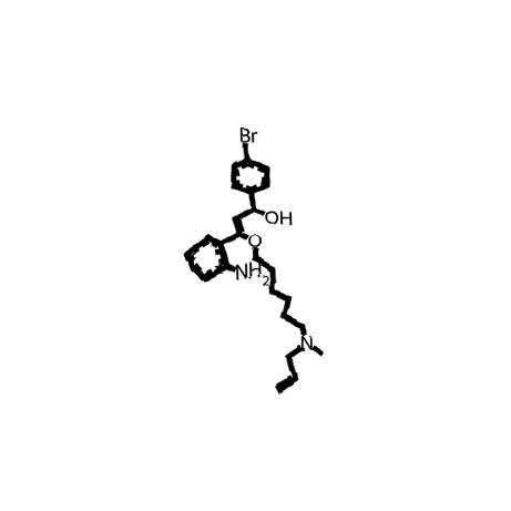 C=CCN(C)CCCCCCOC(=CC(O)c1ccc(Br)cc1)c1ccccc1N